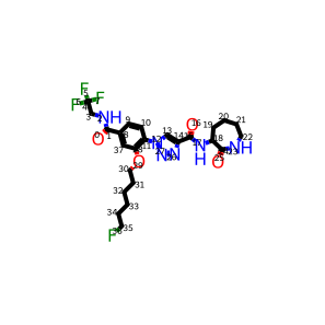 O=C(NCC(F)(F)F)c1ccc(-n2cc(C(=O)NC3CCCCNC3=O)nn2)c(OCCCCCCF)c1